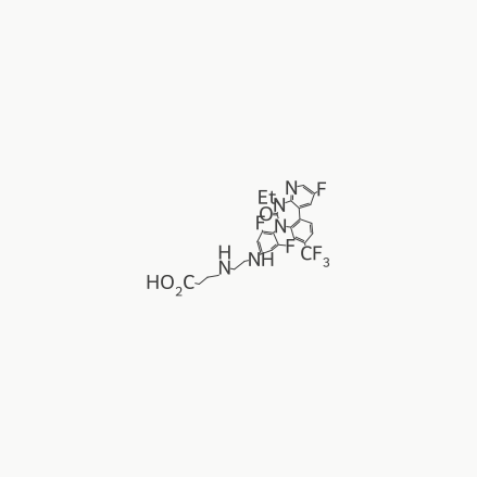 CCN1C(=O)N(c2c(F)cc(NCCNCCCC(=O)O)cc2F)c2cc(C(F)(F)F)ccc2-c2cc(F)cnc21